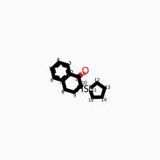 O=C1c2ccccc2CCC1[SiH]1CCCC1